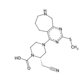 CSc1nc2c(c(N3CCN(C(=O)O)[C@@H](CC#N)C3)n1)CCCNC2